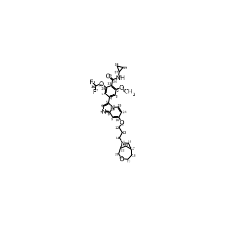 COc1cc(-c2cnc3cc(OCCCN4CC5CCOCC4C5)ccn23)cc(OC(F)F)c1C(=O)NC1CC1